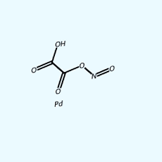 O=NOC(=O)C(=O)O.[Pd]